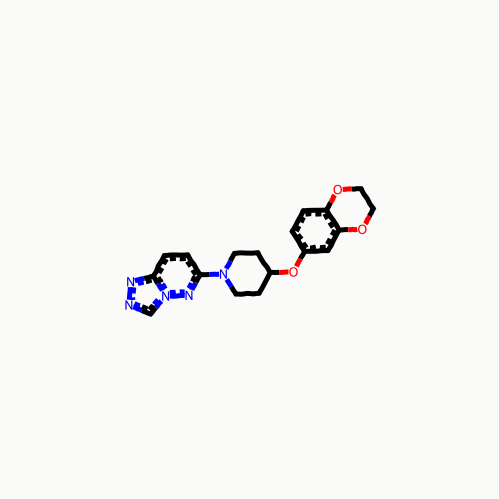 c1cc2c(cc1OC1CCN(c3ccc4nncn4n3)CC1)OCCO2